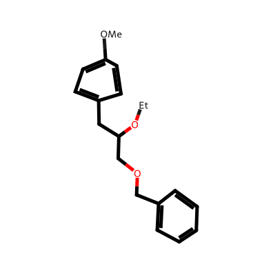 CCOC(COCc1ccccc1)Cc1ccc(OC)cc1